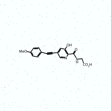 COc1ccc(C#Cc2cnc(C(=O)NCC(=O)O)c(O)c2)cc1